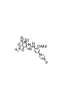 CCn1c(N)c(C(N)=O)c(=O)c2cnc(Nc3ccc(N4CCN(C5CC5)CC4)cc3OC)nc21